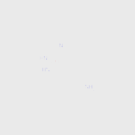 N#COC(=N)Nc1ccc2c(c1)CCC(N)CC2